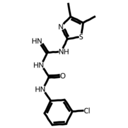 Cc1nc(NC(=N)NC(=O)Nc2cccc(Cl)c2)sc1C